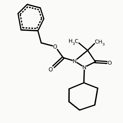 CC1(C)C(=O)N(C2CCCCC2)N1C(=O)OCc1ccccc1